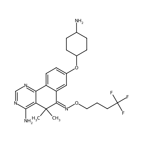 CC1(C)/C(=N/OCCCC(F)(F)F)c2cc(OC3CCC(N)CC3)ccc2-c2ncnc(N)c21